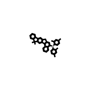 Cc1ccc(N(c2ccc(C)cc2C)c2cc3c(c4ccccc24)-c2cc4c(cc2C3)-c2ccccc2C4(C)C)c(C)c1